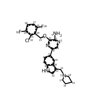 Nc1ncc(-c2ccc3[nH]cc(CN4CCCC4)c3c2)nc1OCc1c(F)ccc(F)c1Cl